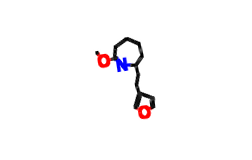 COC1=NC(CCc2ccoc2)CCCC1